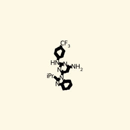 CC(C)c1nc2ccccc2n1-c1cc(N)nc(Nc2ccc(C(F)(F)F)cc2)n1